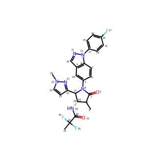 CC1C(=O)N(c2ccc3c(cnn3-c3ccc(F)cc3)c2)C(c2ccn(C)n2)[C@H]1NC(=O)C(C)(F)F